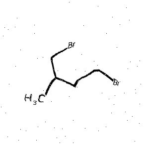 CC(CBr)CCBr